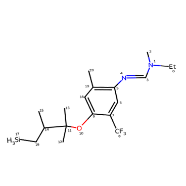 CCN(C)C=Nc1cc(C(F)(F)F)c(OC(C)(C)C(C)C[SiH3])cc1C